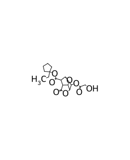 CCC1(OC(=O)C2C3OC4C(OC(=O)C42)C3OC(=O)CO)CCCC1